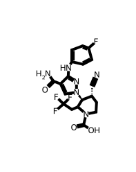 N#C[C@@H]1CCN(C(=O)O)C(CC(F)(F)F)[C@H]1n1cc(C(N)=O)c(Nc2ccc(F)cc2)n1